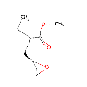 CCC(C[C@@H]1CO1)C(=O)OC